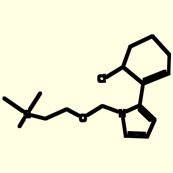 C[Si](C)(C)CCOCn1cccc1C1=CCCCC1Cl